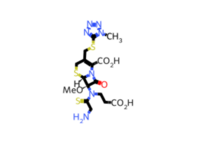 CO[C@@]1(N(CCC(=O)O)C(=S)CN)C(=O)N2C(C(=O)O)=C(CSc3nnnn3C)CS[C@@H]21